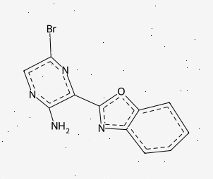 Nc1ncc(Br)nc1-c1nc2ccccc2o1